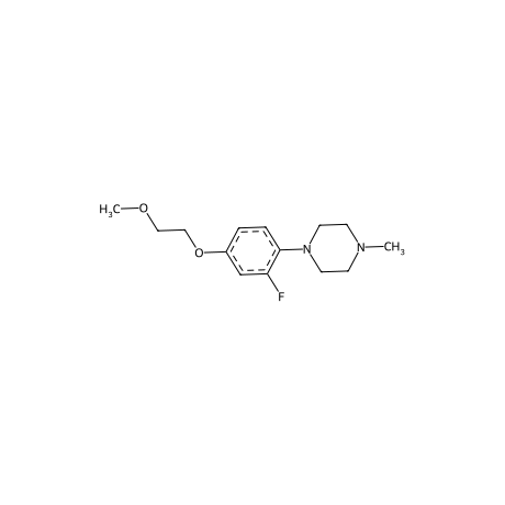 COCCOc1ccc(N2CCN(C)CC2)c(F)c1